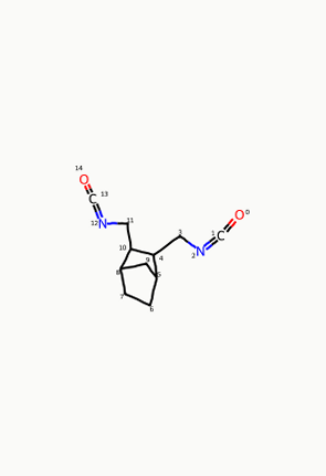 O=C=NCC1C2CCC(C2)C1CN=C=O